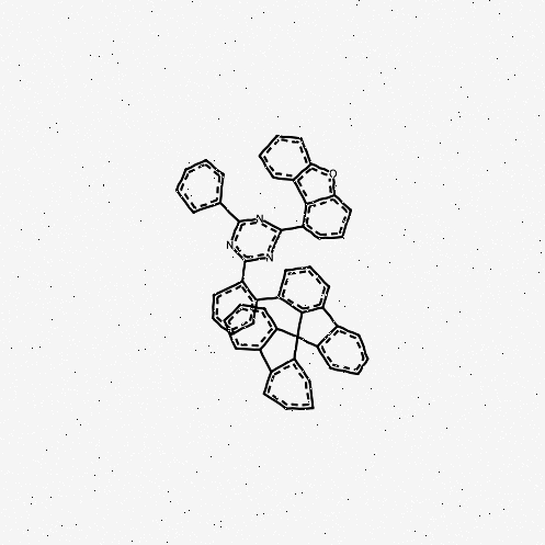 c1ccc(-c2nc(-c3ccccc3-c3cccc4c3C3(c5ccccc5-c5ccccc53)c3ccccc3-4)nc(-c3cccc4oc5ccccc5c34)n2)cc1